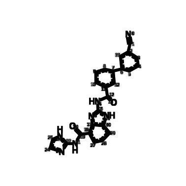 N#Cc1cccc(-c2cccc(C(=O)Nc3nc4c(C(=O)Nc5ncc[nH]5)cccc4[nH]3)c2)c1